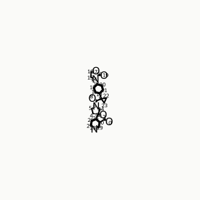 O=C1O[C@]2(CCN(C(=O)C3(c4ccc(N5CCOC5=O)cc4)CC3)C2)c2ccncc21